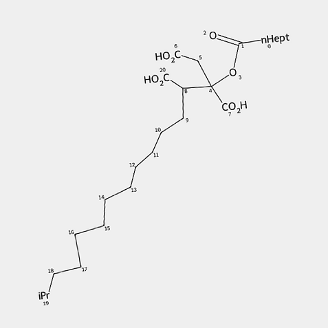 CCCCCCCC(=O)OC(CC(=O)O)(C(=O)O)C(CCCCCCCCCCC(C)C)C(=O)O